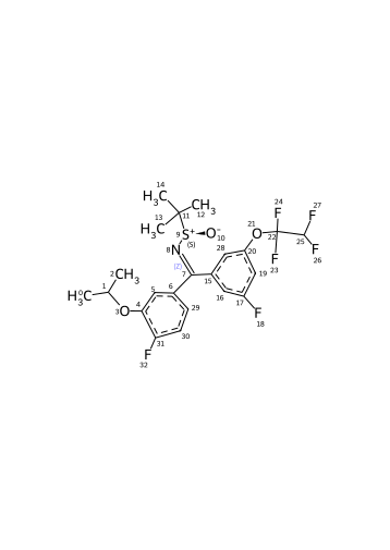 CC(C)Oc1cc(/C(=N/[S@+]([O-])C(C)(C)C)c2cc(F)cc(OC(F)(F)C(F)F)c2)ccc1F